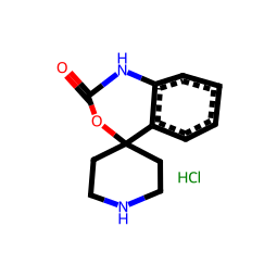 Cl.O=C1Nc2ccccc2C2(CCNCC2)O1